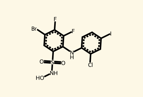 O=S(=O)(NO)c1cc(Br)c(F)c(F)c1Nc1ccc(I)cc1Cl